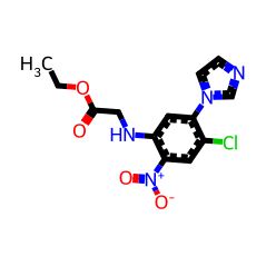 CCOC(=O)CNc1cc(-n2ccnc2)c(Cl)cc1[N+](=O)[O-]